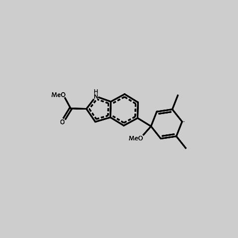 COC(=O)c1cc2cc(C3(OC)C=C(C)[CH]C(C)=C3)ccc2[nH]1